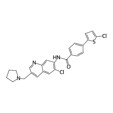 O=C(Nc1cc2ncc(CN3CCCC3)cc2cc1Cl)c1ccc(-c2ccc(Cl)s2)cc1